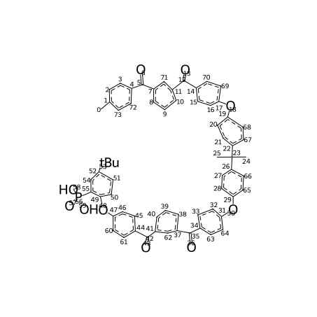 Cc1ccc(C(=O)c2cccc(C(=O)c3ccc(Oc4ccc(C(C)(C)c5ccc(Oc6ccc(C(=O)c7cccc(C(=O)c8ccc(Oc9ccc(C(C)(C)C)cc9P(=O)(O)O)cc8)c7)cc6)cc5)cc4)cc3)c2)cc1